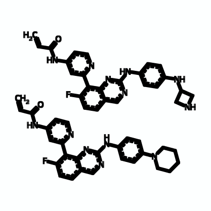 C=CC(=O)Nc1ccnc(-c2c(F)ccc3cnc(Nc4ccc(N5CCCCC5)cc4)nc23)c1.C=CC(=O)Nc1ccnc(-c2c(F)ccc3cnc(Nc4ccc(NC5CNC5)cc4)nc23)c1